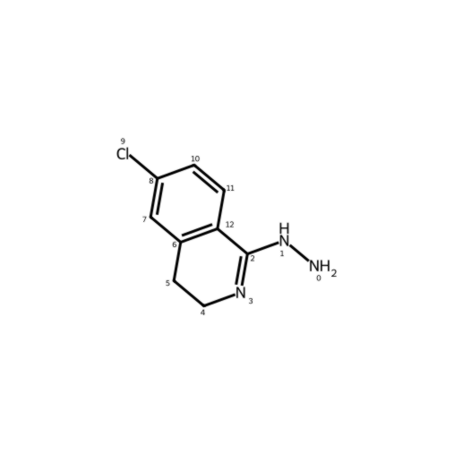 NNC1=NCCc2cc(Cl)ccc21